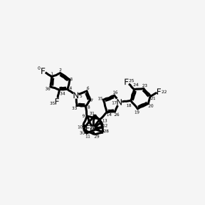 Fc1ccc(-n2ccc([C]34[CH]5[CH]6[CH]7[C]3(c3ccn(-c8ccc(F)cc8F)c3)[Fe]6574389%10[CH]4[CH]3[CH]8[CH]9[CH]4%10)c2)c(F)c1